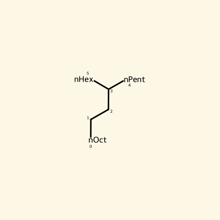 [CH2]CCCCCCCCCC(CCCCC)CCCCCC